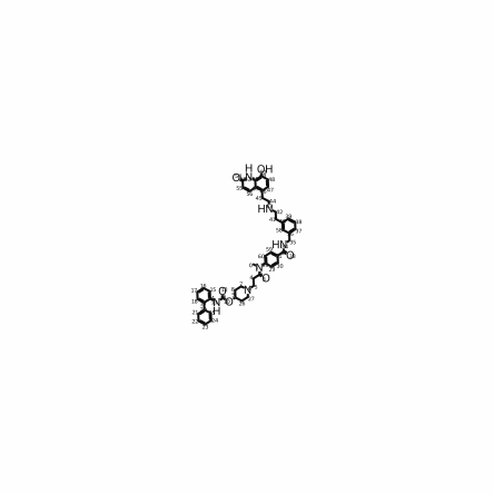 CN(C(=O)CCN1CCC(OC(=O)Nc2ccccc2-c2ccccc2)CC1)c1ccc(C(=O)NCc2cccc(CCNCCc3ccc(O)c4[nH]c(=O)ccc34)c2)cc1